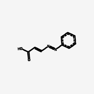 O=C(O)C=CN=Nc1ccccc1